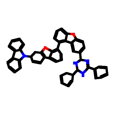 C1=CCC(C2NC(c3ccccc3)=NC(c3ccc4oc5cccc(-c6cccc7c8c(oc67)CC(n6c7ccccc7c7ccccc76)C=C8)c5c4c3)N2)C=C1